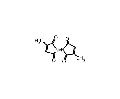 CC1=CC(=O)N(N2C(=O)C=C(C)C2=O)C1=O